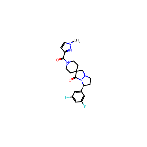 Cn1ccc(C(=O)N2CCC3(CC2)CN2CC[C@@H](c4cc(F)cc(F)c4)N2C3=O)n1